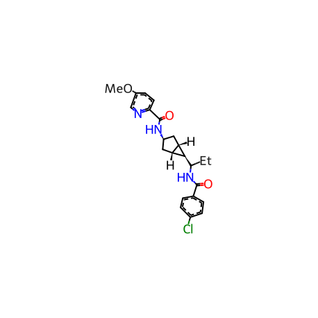 CCC(NC(=O)c1ccc(Cl)cc1)[C@H]1[C@@H]2C[C@@H](NC(=O)c3ccc(OC)cn3)C[C@@H]21